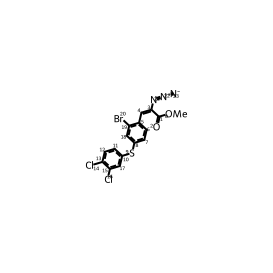 COC(=O)/C(=C\c1ccc(Sc2ccc(Cl)c(Cl)c2)cc1Br)N=[N+]=[N-]